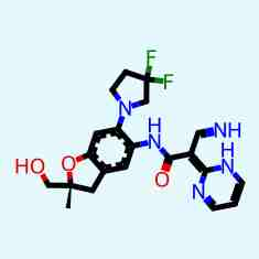 C[C@]1(CO)Cc2cc(NC(=O)/C(C=N)=C3\N=CC=CN3)c(N3CCC(F)(F)C3)cc2O1